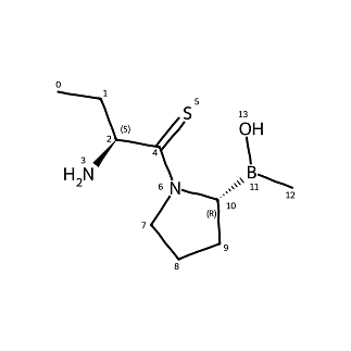 CC[C@H](N)C(=S)N1CCC[C@H]1B(C)O